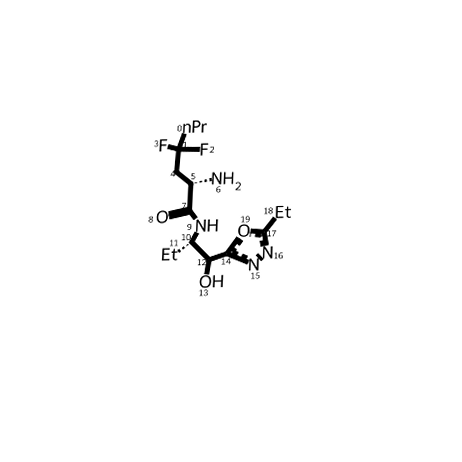 CCCC(F)(F)C[C@H](N)C(=O)N[C@@H](CC)C(O)c1nnc(CC)o1